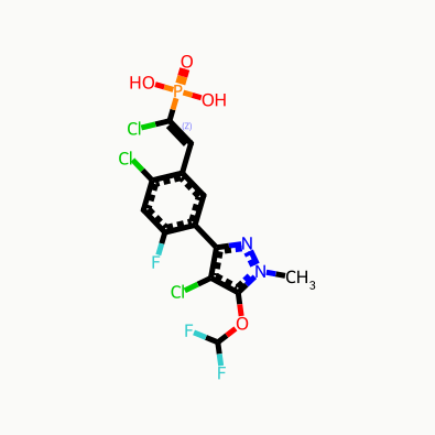 Cn1nc(-c2cc(/C=C(\Cl)P(=O)(O)O)c(Cl)cc2F)c(Cl)c1OC(F)F